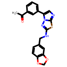 CC(=O)c1cccc(-c2cnc3sc(NCc4ccc5c(c4)OCO5)nn23)c1